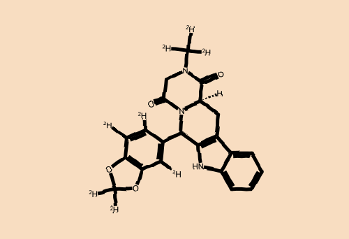 [2H]c1c([2H])c(C2c3[nH]c4ccccc4c3C[C@@H]3C(=O)N(C([2H])([2H])[2H])CC(=O)N23)c([2H])c2c1OC([2H])([2H])O2